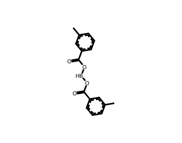 Cc1cccc(C(=O)OBOC(=O)c2cccc(C)c2)c1